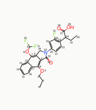 CCCOc1c2c(c(OC(F)F)c3ccccc13)CN(c1ccc(C(CC)C(=O)O)c(F)c1)C2=O